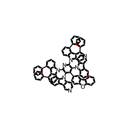 c1ccc(-c2cccc3c2c2c(-c4ccccc4)cccc2n3-c2nc(-n3c4cccc(-c5ccccc5)c4c4c(-c5ccccc5)cccc43)c(-n3c4ccccc4c4cnccc43)c(-c3ccc4oc5ccccc5c4c3)c2-n2c3ccccc3c3cnccc32)cc1